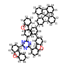 c1cc(-c2ccc3c(c2)-c2ccccc2C32c3ccccc3-c3ccccc32)cc(-c2ccc3oc4cccc(-c5nc(-c6ccc7c(c6)oc6ccccc67)nc(-c6cccc7oc8ccccc8c67)n5)c4c3c2)c1